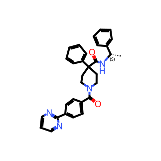 C[C@H](NC(=O)C1(c2ccccc2)CCN(C(=O)c2ccc(-c3ncccn3)cc2)CC1)c1ccccc1